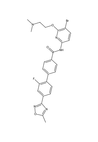 Cc1nc(-c2ccc(-c3ccc(C(=O)Nc4ccc(Br)c(OCCN(C)C)n4)cc3)c(F)c2)no1